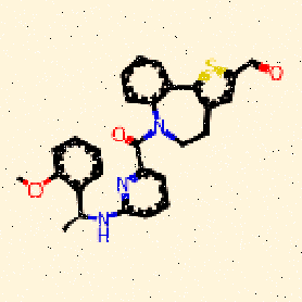 COc1ccccc1[C@H](C)Nc1cccc(C(=O)N2CCc3cc(C=O)sc3-c3ccccc32)n1